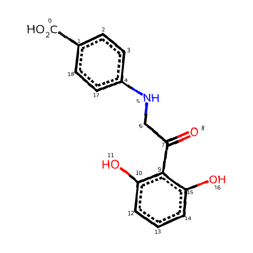 O=C(O)c1ccc(NCC(=O)c2c(O)cccc2O)cc1